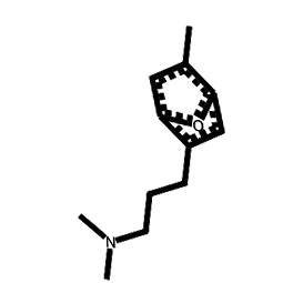 Cc1cc2oc1cc2CCCN(C)C